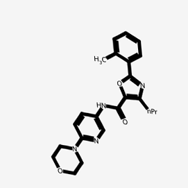 CCCc1nc(-c2ccccc2C)oc1C(=O)Nc1ccc(N2CCOCC2)nc1